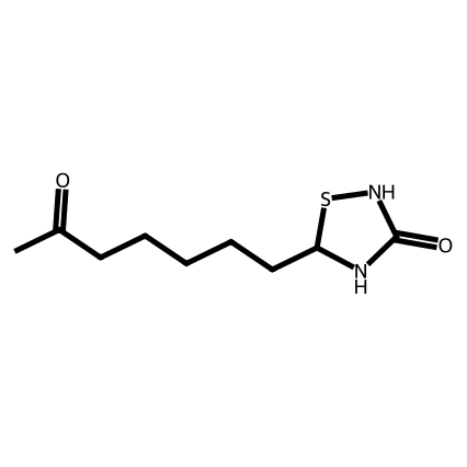 CC(=O)CCCCCC1NC(=O)NS1